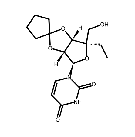 CC[C@]1(CO)O[C@@H](n2ccc(=O)[nH]c2=O)[C@@H]2OC3(CCCC3)O[C@@H]21